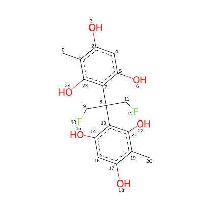 Cc1c(O)cc(O)c(C(CF)(CF)c2c(O)cc(O)c(C)c2O)c1O